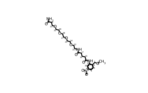 COCc1ccc([N+](=O)[O-])cc1NC(=O)CCCC(=O)NCCOCCOCCOCCOCCC(N)=O